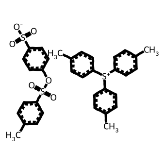 Cc1ccc(S(=O)(=O)Oc2ccc(S(=O)(=O)[O-])cc2)cc1.Cc1ccc([S+](c2ccc(C)cc2)c2ccc(C)cc2)cc1